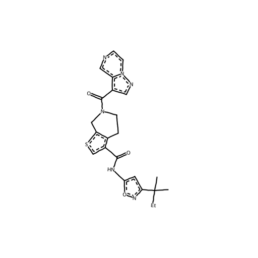 CCC(C)(C)c1cc(NC(=O)c2csc3c2CCN(C(=O)c2cnn4ccncc24)C3)on1